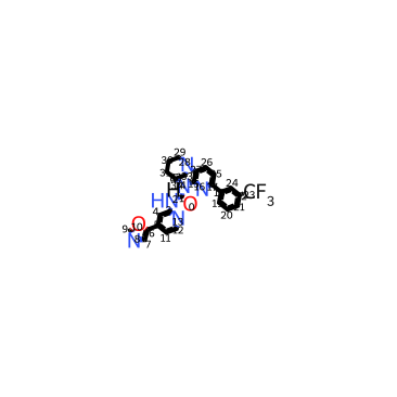 O=C(Nc1cc(-c2cnco2)ccn1)N1c2nc(-c3cccc(C(F)(F)F)c3)ccc2N2CCC[C@H]1C2